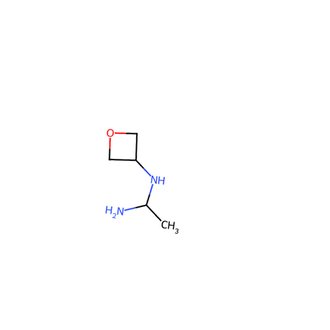 CC(N)NC1COC1